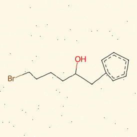 OC(CCCCBr)Cc1ccccc1